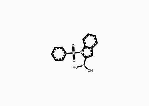 O=S(=O)(c1ccccc1)n1c(N(O)O)cc2ccccc21